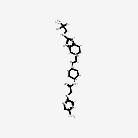 Cc1cnc(OCC(=O)N[C@H]2CC[C@H](CCN3CCc4sc(OCC(C)(F)F)nc4C3)CC2)cn1